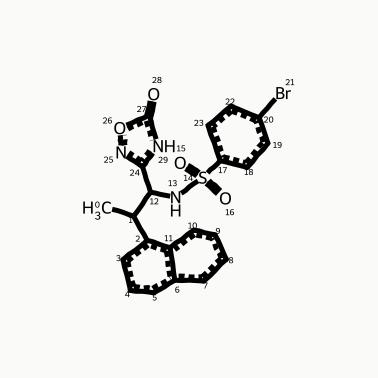 CC(c1cccc2ccccc12)C(NS(=O)(=O)c1ccc(Br)cc1)c1noc(=O)[nH]1